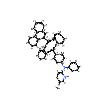 N#Cc1ccc(N(c2ccccc2)c2ccc(-c3c4ccccc4c(-c4cc5ccccc5c5ccccc45)c4ccccc34)cc2)nc1